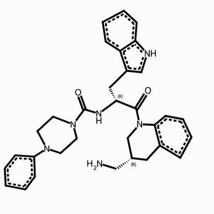 NC[C@H]1Cc2ccccc2N(C(=O)[C@@H](Cc2c[nH]c3ccccc23)NC(=O)N2CCN(c3ccccc3)CC2)C1